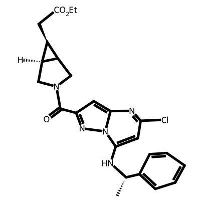 CCOC(=O)C[C@H]1C2CN(C(=O)c3cc4nc(Cl)cc(N[C@@H](C)c5ccccc5)n4n3)C[C@H]21